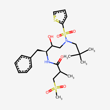 CC(CS(C)(=O)=O)C(=O)N[C@@H](Cc1ccccc1)C(O)CN(CC(C)(C)C)S(=O)(=O)c1cccs1